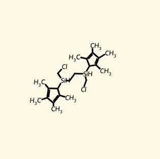 CC1=C(C)C([SiH](CCl)CC[SiH](CCl)C2C(C)=C(C)C(C)=C2C)C(C)=C1C